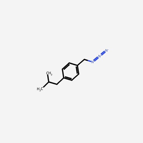 CC(C)Cc1ccc(CN=[N+]=[N-])cc1